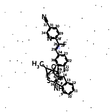 CC1C2[C@@]1(C(=O)N1Cc3ccccc3C1)SC(N)=N[C@@]21Cc2ccc(/C=C(\F)c3ccc(C#N)cn3)cc21